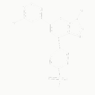 CS(=O)(=O)c1ccc(-c2cc(-c3ccnc(N)c3)cc3c(N)n[nH]c23)cc1